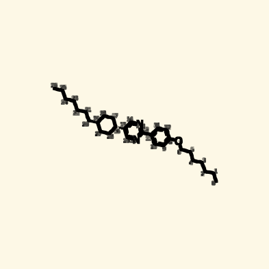 CCCCCCCOc1ccc(-c2ncc([C@H]3CC[C@H](CCCCCCC)CC3)cn2)cc1